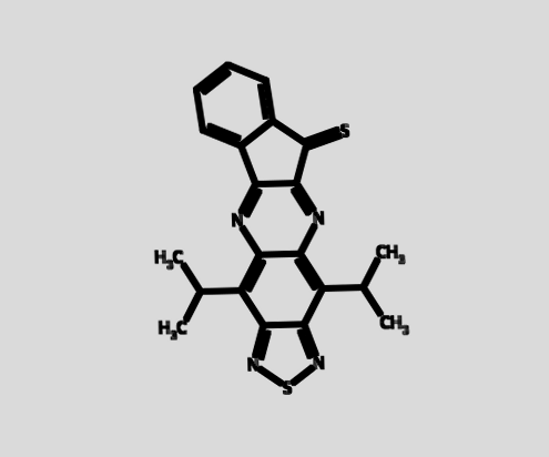 CC(C)c1c2nsnc2c(C(C)C)c2nc3c(nc12)C(=S)c1ccccc1-3